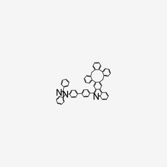 c1ccc(-c2nc3ccccc3n2-c2ccc(-c3ccc(-c4nc5ccccc5c5cc6c(cc45)-c4ccccc4Cc4ccccc4-c4ccccc4C6)cc3)cc2)cc1